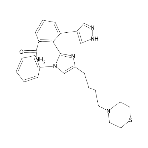 NC(=O)c1cccc(-c2cn[nH]c2)c1-c1nc(CCCCN2CCSCC2)cn1-c1ccccc1